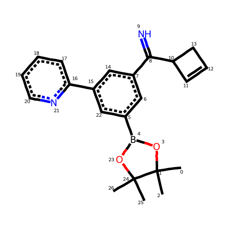 CC1(C)OB(c2cc(C(=N)C3C=CC3)cc(-c3ccccn3)c2)OC1(C)C